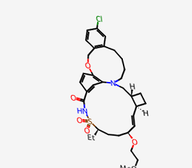 CC[C@@H]1CC[C@H](OCCOC)/C=C/[C@@H]2CC[C@H]2CN2CCCCc3cc(Cl)ccc3COc3ccc(cc32)C(=O)NS1(=O)=O